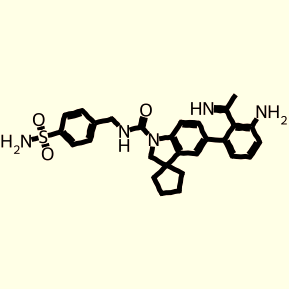 CC(=N)c1c(N)cccc1-c1ccc2c(c1)C1(CCCC1)CN2C(=O)NCc1ccc(S(N)(=O)=O)cc1